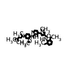 CCc1cccc(CC)c1NC(=O)c1cc(-c2ccnc(Nc3ccc(N(C)CCN(C)C)cc3OC)n2)n(C)c1